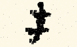 CN[C@@H](CC(C)(C)F)C(=O)O[C@H](Cc1ccc(C(F)(F)F)cc1)C(=O)N(C)[C@@H](CC(C)C)C(=O)O[C@H](C)C(=O)N(C)[C@@H](CC(C)(C)F)C(=O)O[C@H](Cc1ccc(C(F)(F)F)cc1)C(=O)N(C)[C@@H](CC(C)C)C(=O)O[C@H](C)C(=O)OCc1ccccc1